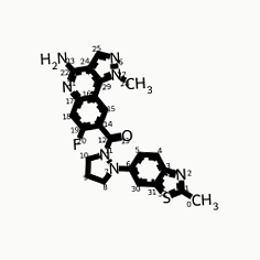 Cc1nc2ccc(N3CCCN3C(=O)c3cc4c(cc3F)nc(N)c3cnn(C)c34)cc2s1